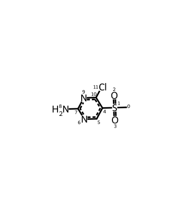 CS(=O)(=O)c1cnc(N)nc1Cl